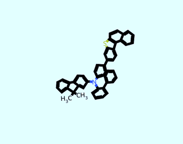 CC1(C)c2ccccc2-c2ccc(N(c3ccc(-c4ccc5c(c4)sc4ccc6ccccc6c45)cc3)c3ccccc3-c3ccccc3)cc21